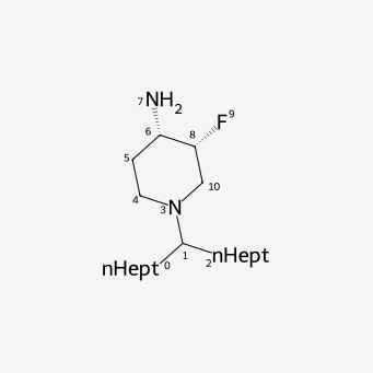 CCCCCCCC(CCCCCCC)N1CC[C@H](N)[C@H](F)C1